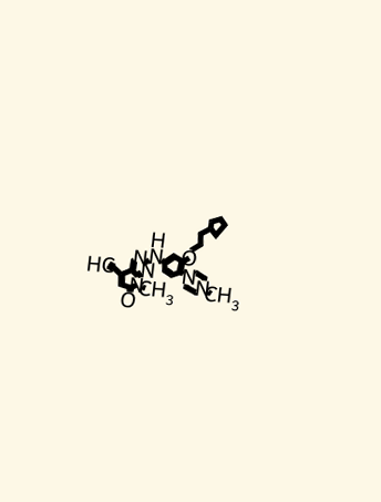 C#Cc1cc(=O)n(C)c2nc(Nc3ccc(N4CCN(C)CC4)c(OCCCC4CCCC4)c3)ncc12